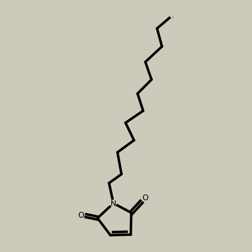 [CH2]CCCCCCCCCCCN1C(=O)C=CC1=O